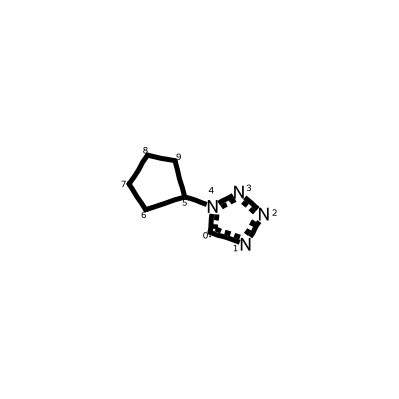 [c]1nnnn1C1CCCC1